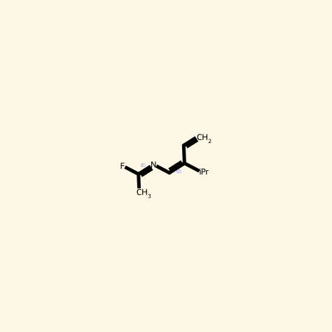 C=C/C(=C\N=C(/C)F)C(C)C